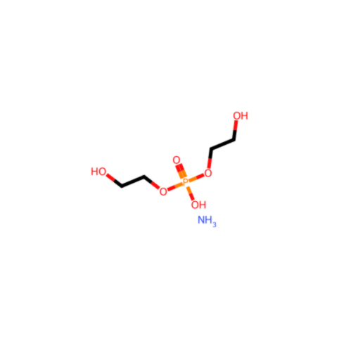 N.O=P(O)(OCCO)OCCO